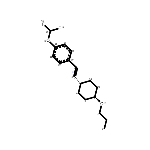 CCCO[C@H]1CC[C@H](/C=C/c2ccc(OC(F)F)cc2)CC1